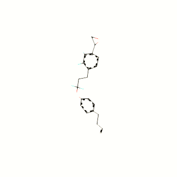 C=CCCc1ccc(OC(F)(F)CCc2ccc(C3CO3)c(F)c2F)cc1